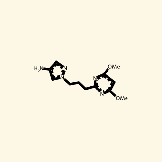 COc1cc(OC)nc(CCCn2cc(N)cn2)n1